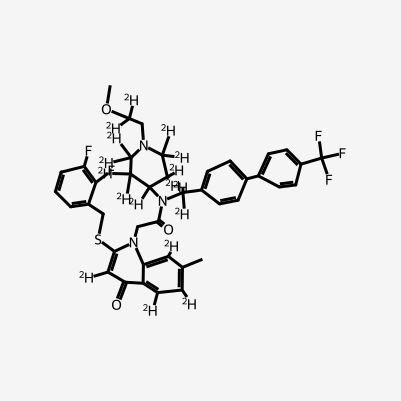 [2H]c1c(C)c([2H])c2c(c1[2H])c(=O)c([2H])c(SCc1cccc(F)c1F)n2CC(=O)N(C([2H])([2H])c1ccc(-c2ccc(C(F)(F)F)cc2)cc1)C1([2H])C([2H])([2H])C([2H])([2H])N(CC([2H])([2H])OC)C([2H])([2H])C1([2H])[2H]